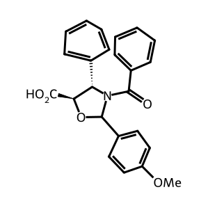 COc1ccc(C2O[C@@H](C(=O)O)[C@H](c3ccccc3)N2C(=O)c2ccccc2)cc1